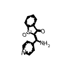 NC(=C1C(=O)c2ccccc2[S+]1[O-])c1ccncc1